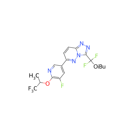 CC(C)COC(F)(F)c1nnc2ccc(-c3cnc(OC(C)C(F)(F)F)c(F)c3)nn12